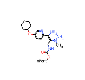 CCCCCOC(=O)NC/C(=C(/N)c1ccc(OC2CCCCC2)cn1)N(C)N